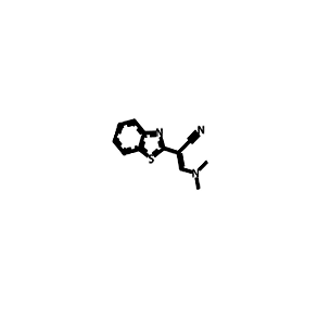 CN(C)C=C(C#N)c1nc2ccccc2s1